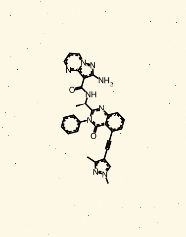 Cc1nn(C)cc1C#Cc1cccc2nc([C@@H](C)NC(=O)c3c(N)nn4cccnc34)n(-c3ccccc3)c(=O)c12